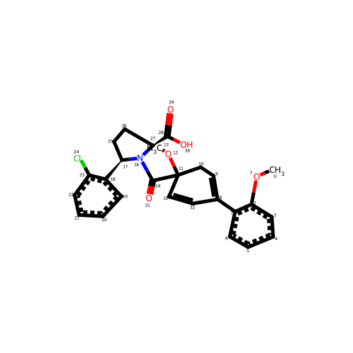 COc1ccccc1C1=CCC(OC)(C(=O)N2[C@@H](c3ccccc3Cl)CC[C@H]2C(=O)O)C=C1